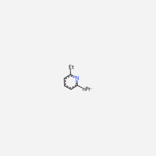 CC[CH]c1cccc(CC)n1